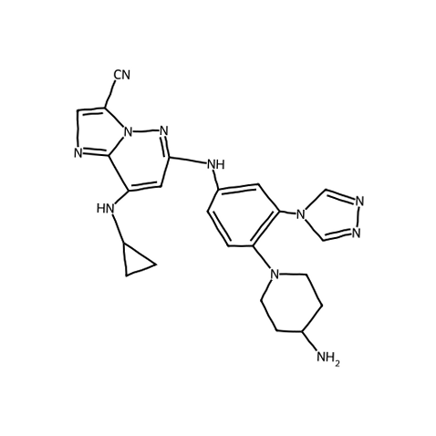 N#Cc1cnc2c(NC3CC3)cc(Nc3ccc(N4CCC(N)CC4)c(-n4cnnc4)c3)nn12